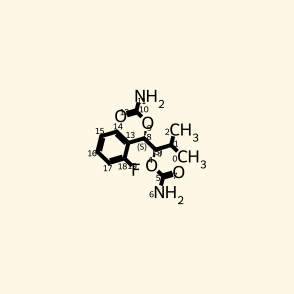 CC(C)[C@H](OC(N)=O)[C@@H](OC(N)=O)c1ccccc1F